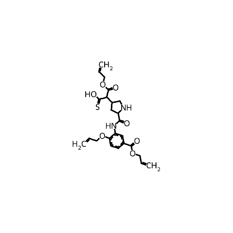 C=CCOC(=O)c1ccc(OCC=C)c(NC(=O)C2CC(C(C(=O)OCC=C)C(O)=S)CN2)c1